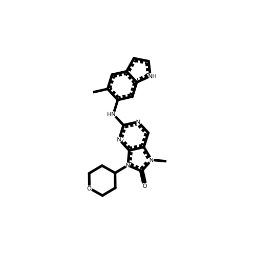 Cc1cc2cc[nH]c2cc1Nc1ncc2c(n1)n(C1CCOCC1)c(=O)n2C